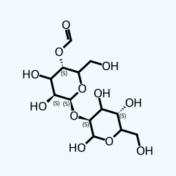 O=CO[C@@H]1C(CO)O[C@@H](O[C@@H]2C(O)OC(CO)[C@@H](O)C2O)[C@@H](O)C1O